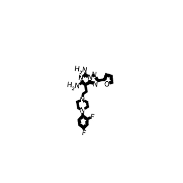 Nc1nc(N)n2nc(-c3ccco3)nc2c1CCN1CCN(c2ccc(F)cc2F)CC1